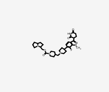 Cn1nc(C2CCC(=O)NC2=O)c2ccc(C3CCN(CC4CCN(C(=O)OCC5CCC6CCCN65)CC4)CC3)c(F)c21